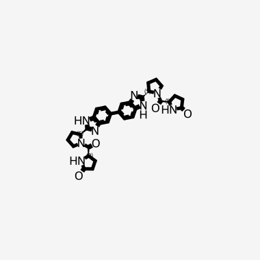 O=C1CC[C@H](C(=O)N2CCC[C@H]2c2nc3cc(-c4ccc5[nH]c([C@@H]6CCCN6C(=O)[C@H]6CCC(=O)N6)nc5c4)ccc3[nH]2)N1